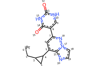 CC(C)CC1CC1c1cc(-c2c[nH]c(=O)[nH]c2=O)nn2ccnc12